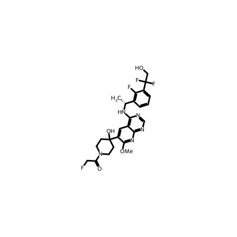 COc1nc2ncnc(N[C@H](C)c3cccc(C(F)(F)CO)c3F)c2cc1C1(O)CCN(C(=O)CF)CC1